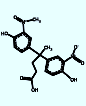 C[N+](=O)c1cc(C(C)(CCC(=O)O)c2ccc(O)c([N+](=O)[O-])c2)ccc1O